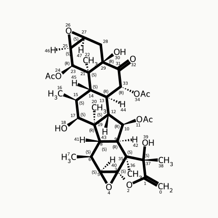 C=C1O[C@]23O[C@H]2[C@@H](C)[C@H]2[C@@H]([C@H](OC(C)=O)[C@H]4[C@H]5[C@H]([C@H](C)[C@H](O)[C@@]42C)[C@@]2(C)[C@@H](OC(C)=O)[C@H]4O[C@H]4C[C@]2(O)C(=O)[C@@H]5OC(C)=O)[C@@]3(C)[C@]1(C)O